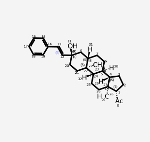 CC(=O)[C@H]1CC[C@H]2[C@@H]3CC[C@H]4C[C@@](O)(/C=C/c5ccccc5)CC[C@]4(C)[C@H]3CC[C@]12C